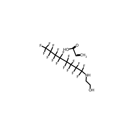 C=CC(=O)O.OCCNC(F)(F)C(F)(F)C(F)(F)C(F)(F)C(F)(F)C(F)(F)C(F)(F)C(F)(F)F